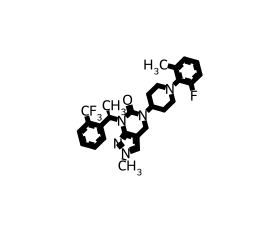 Cc1cccc(F)c1N1CCC(N2Cc3cn(C)nc3N([C@H](C)c3ccccc3C(F)(F)F)C2=O)CC1